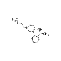 COCCN1C=CC(NC(C)c2ccccc2)=NC1